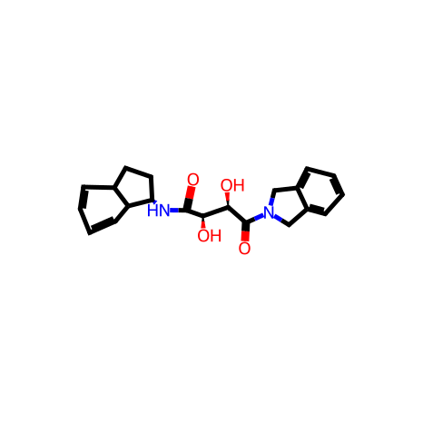 O=C(N[C@@H]1CCC2C=CC=CC21)[C@H](O)[C@@H](O)C(=O)N1Cc2ccccc2C1